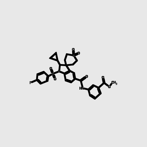 COC(=O)c1cccc(NC(=O)c2ccc3c(c2)C2(CCS(=O)(=O)CC2)C(C2CC2)N3S(=O)(=O)c2ccc(F)cc2)c1